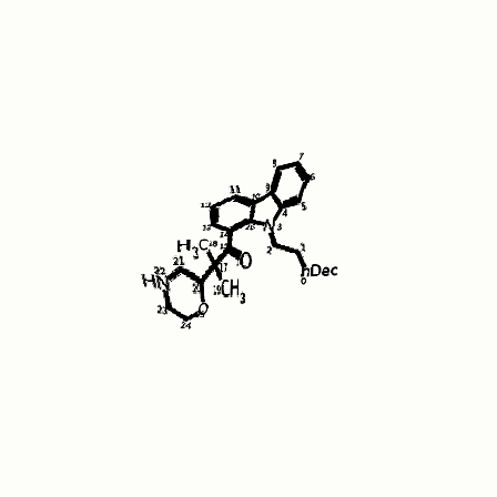 CCCCCCCCCCCCn1c2ccccc2c2cccc(C(=O)C(C)(C)C3CNCCO3)c21